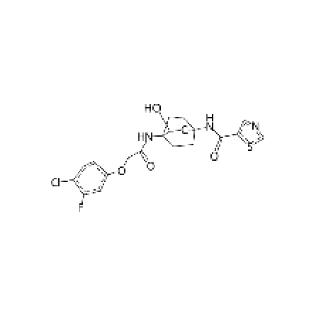 O=C(COc1ccc(Cl)c(F)c1)NC12CCC(NC(=O)c3cncs3)(CC1)CC2O